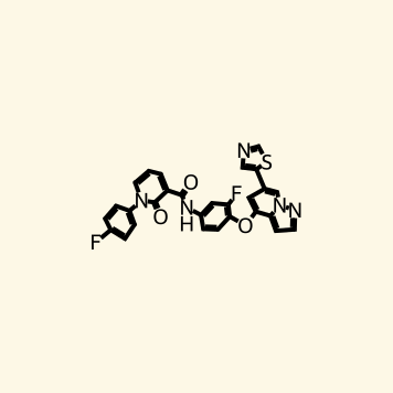 O=C(Nc1ccc(Oc2cc(-c3cncs3)cn3nccc23)c(F)c1)c1cccn(-c2ccc(F)cc2)c1=O